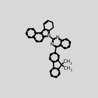 CC1(C)c2ccccc2-c2ccc(-c3nc(-n4c5c(c6c7ccccc7ccc64)C=CCC5)nc4ccccc34)cc21